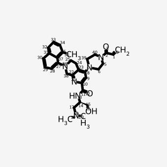 C=CC(=O)N1CCN(c2cc(C(=O)N[C@@H](CO)CN(C)C)nc3c2CCN(c2cccc4cccc(C)c24)C3)CC1